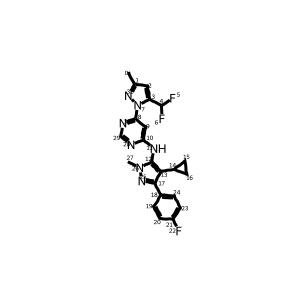 Cc1cc(C(F)F)n(-c2cc(Nc3c(C4CC4)c(-c4ccc(F)cc4)nn3C)ncn2)n1